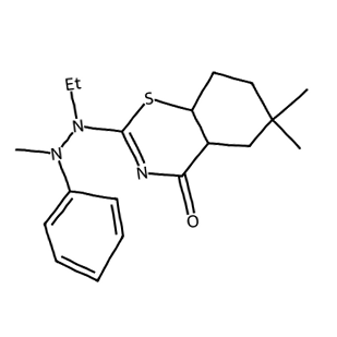 CCN(C1=NC(=O)C2CC(C)(C)CCC2S1)N(C)c1ccccc1